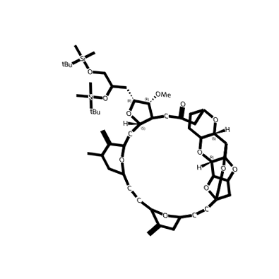 C=C1CC2CCC34CC5OC6C(O3)[C@H]3OC(CCC3O[C@H]6C5O4)CC(=O)CC3[C@H](CC4OC(CCC1O2)CC(C)C4=C)O[C@H](CC(CO[Si](C)(C)C(C)(C)C)O[Si](C)(C)C(C)(C)C)[C@@H]3OC